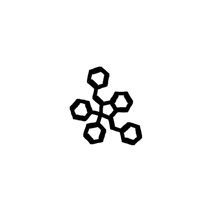 C(=C1c2ccccc2C(=Cc2ccccc2)C1(c1ccccc1)c1ccccc1)c1ccccc1